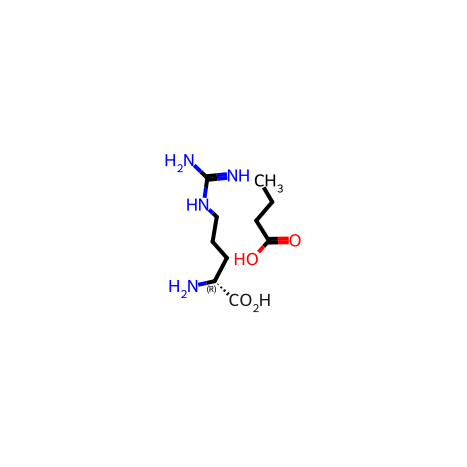 CCCC(=O)O.N=C(N)NCCC[C@@H](N)C(=O)O